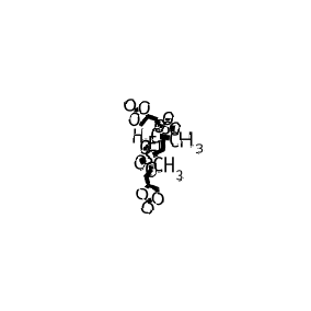 CCC(C)(CC(C)(C)S(=O)(=O)OCC1COC(=O)O1)S(=O)(=O)OCC1COC(=O)O1